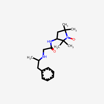 CC(Cc1ccccc1)NCC(=O)NC1CC(C)(C)N([O])C1(C)C